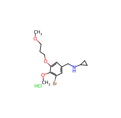 COCCCOc1cc(CNC2CC2)cc(Br)c1OC.Cl